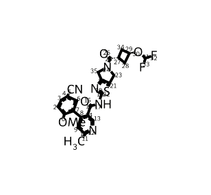 COc1ccc(C#N)cc1-c1cc(C)ncc1C(=O)Nc1nc2c(s1)CN(C(=O)[C@H]1C[C@H](OC(F)F)C1)C2